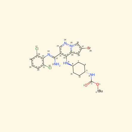 CC(C)(C)OC(=O)N[C@H]1CC[C@H](Nc2c(/C(N)=N/c3c(Cl)cccc3Cl)cnn3cc(Br)cc23)CC1